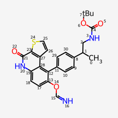 CC(CNC(=O)OC(C)(C)C)c1ccc(-c2c(OC=N)ccc3[nH]c(=O)c4sccc4c23)cc1